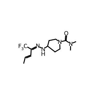 C/C=C/C(=N\NC1CCN(C(=O)N(C)C)CC1)C(F)(F)F